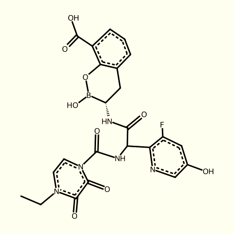 CCn1ccn(C(=O)NC(C(=O)N[C@H]2Cc3cccc(C(=O)O)c3OB2O)c2ncc(O)cc2F)c(=O)c1=O